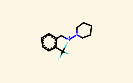 FC(F)(F)c1ccccc1CNN1CCCCC1